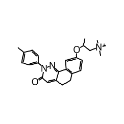 Cc1ccc(-n2nc3c(cc2=O)CCc2ccc(OC(C)C[N+](C)(C)C)cc2-3)cc1